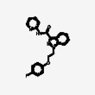 O=C(Nc1ccccn1)c1nn(CCOc2ccc(F)cc2)c2ccccc12